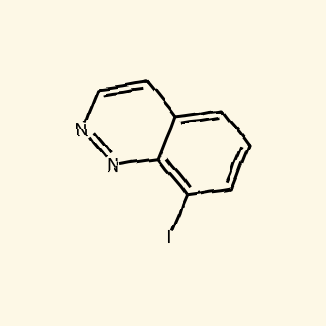 Ic1cccc2ccnnc12